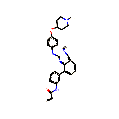 C=CC(=O)Nc1cccc(C2=CC=CC(=C/N=C)/C2=N\CNc2ccc(OC3CCN(C)CC3)cc2)c1